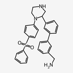 NCc1cccc(-c2cccc(C3CNCCN3c3ccc(S(=O)(=O)c4ccccc4)cc3)c2)c1